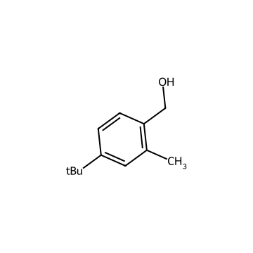 Cc1cc(C(C)(C)C)ccc1CO